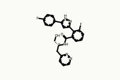 O=C(N[C@@H](CO)Cc1cccnn1)c1cccc(F)c1-c1cc(-c2ccc(F)cc2)[nH]n1